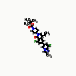 C=Cc1cn(C2CCN(C(=O)OC(C)(C)C)CC2)c(=O)c2c(F)cc(-c3cc(F)c4nc(C)cn4c3)cc12